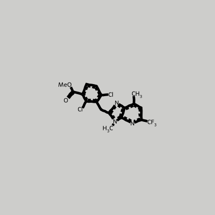 COC(=O)c1ccc(Cl)c(Cc2nc3c(C)cc(C(F)(F)F)nc3n2C)c1Cl